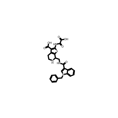 O=C(O)C(=O)Nc1sc2c(c1C(=O)O)CCNC2CNC(=O)c1cn(Cc2ccccc2)c2ccccc12